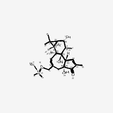 CC(=O)O[C@@]12[C@H](O)[C@@H](C)[C@@]3(O)[C@@H](C=C(CO[Si](C)(C)C(C)(C)C)C[C@]4(O)C(=O)C(C)=C[C@@H]34)[C@@H]1C2(C)C